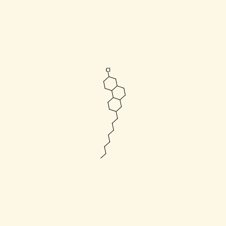 CCCCCCCCC1CCC2C(CCC3CC(Cl)CCC32)C1